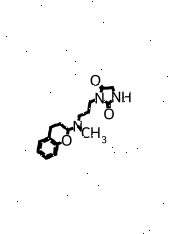 CN(CCCN1C(=O)CNC1=O)C1CCc2ccccc2O1